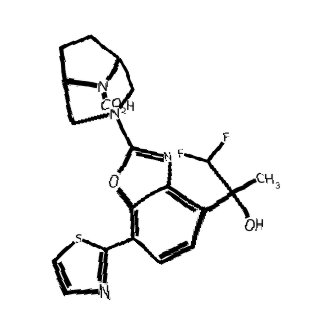 CC(O)(c1ccc(-c2nccs2)c2oc(N3CC4CCC(C3)N4C(=O)O)nc12)C(F)F